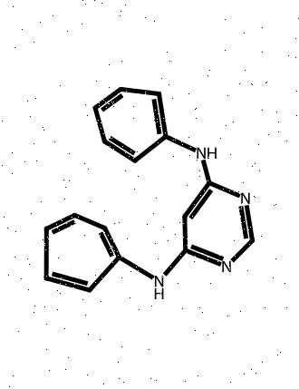 c1ccc(Nc2cc(Nc3ccccc3)ncn2)cc1